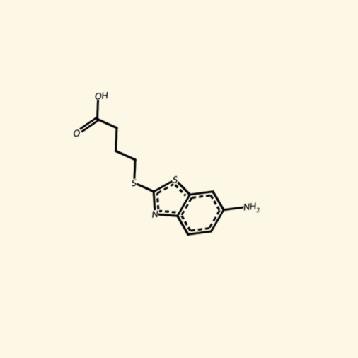 Nc1ccc2nc(SCCCC(=O)O)sc2c1